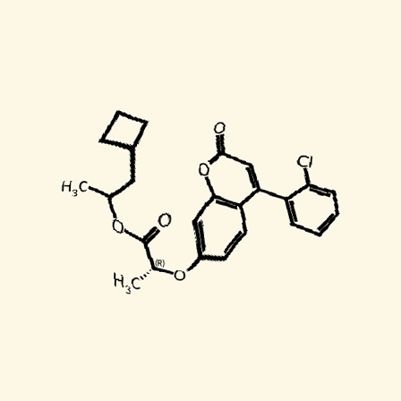 CC(CC1CCC1)OC(=O)[C@@H](C)Oc1ccc2c(-c3ccccc3Cl)cc(=O)oc2c1